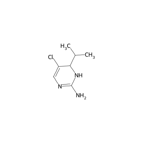 CC(C)C1NC(N)=NC=C1Cl